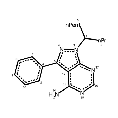 CCCCCC(CCC)n1nc(-c2ccccc2)c2c(N)ncnc21